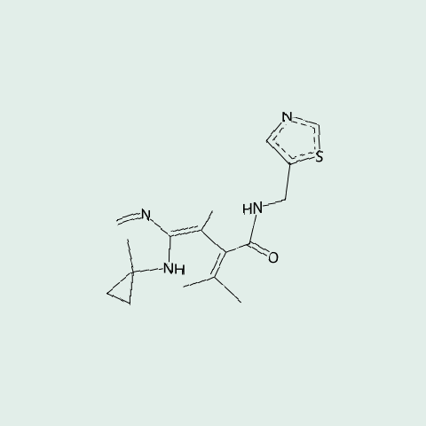 C=N/C(NC1(C)CC1)=C(\C)C(C(=O)NCc1cncs1)=C(C)C